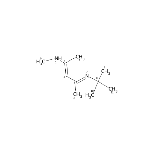 CNC(C)=CC(C)=NC(C)(C)C